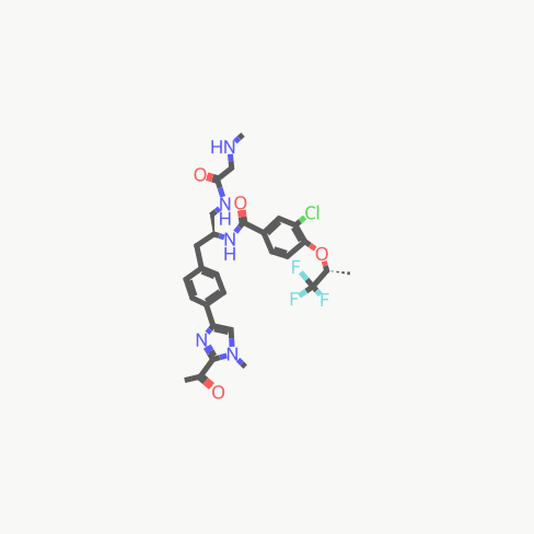 CNCC(=O)NC[C@H](Cc1ccc(-c2cn(C)c(C(C)=O)n2)cc1)NC(=O)c1ccc(O[C@H](C)C(F)(F)F)c(Cl)c1